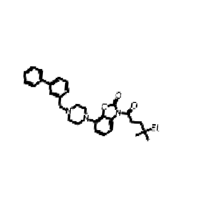 CCC(C)(C)CCC(=O)n1c(=O)oc2c(N3CCN(Cc4cccc(-c5ccccc5)c4)CC3)cccc21